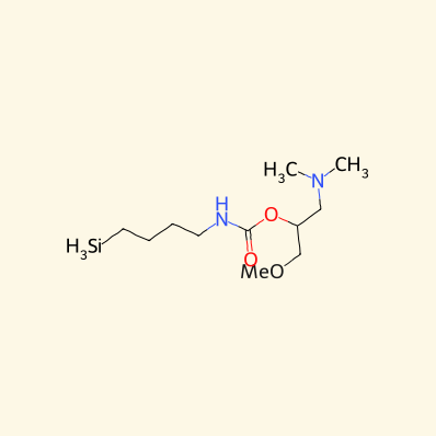 COCC(CN(C)C)OC(=O)NCCCC[SiH3]